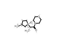 C[C@@H](C(=O)N1CCOCC1)[N+]1([O-])CC[C@H](N)C1